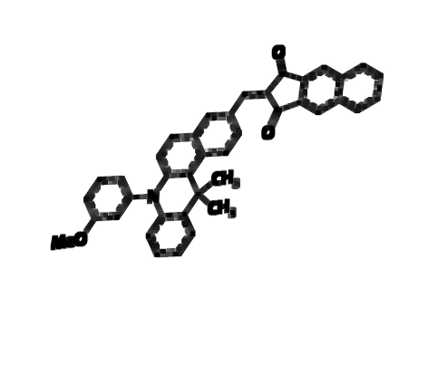 COc1cccc(N2c3ccccc3C(C)(C)c3c2ccc2cc(C=C4C(=O)c5cc6ccccc6cc5C4=O)ccc32)c1